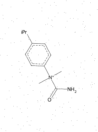 CC(C)c1ccc([N+](C)(C)C(N)=O)cc1